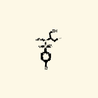 CCCN(C(CO)CC(C)C)S(=O)(=O)c1ccc(Cl)cc1